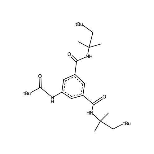 CC(C)(C)CC(C)(C)NC(=O)c1cc(NC(=O)C(C)(C)C)cc(C(=O)NC(C)(C)CC(C)(C)C)c1